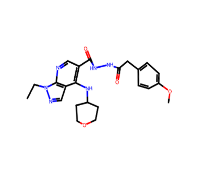 CCn1ncc2c(NC3CCOCC3)c(C(=O)NNC(=O)Cc3ccc(OC)cc3)cnc21